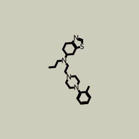 CCCN(CCN1CCN(c2ccccc2C)CC1)C1CCc2ncsc2C1